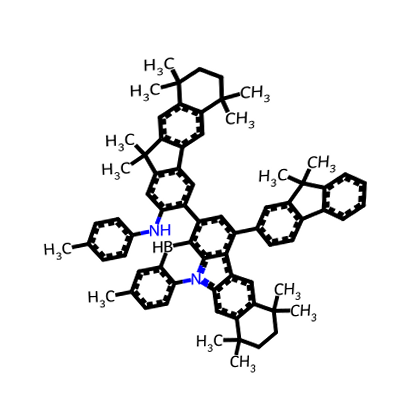 Cc1ccc(Nc2cc3c(cc2-c2cc(-c4ccc5c(c4)C(C)(C)c4ccccc4-5)c4c5cc6c(cc5n5c4c2Bc2cc(C)ccc2-5)C(C)(C)CCC6(C)C)-c2cc4c(cc2C3(C)C)C(C)(C)CCC4(C)C)cc1